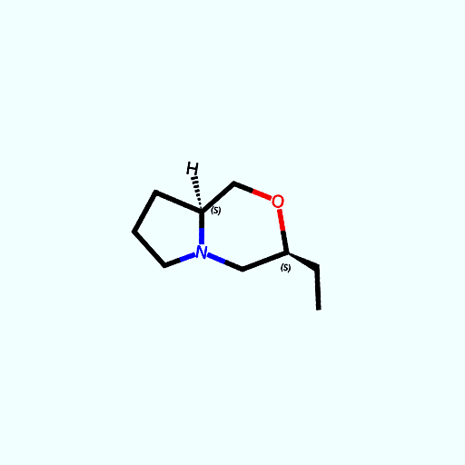 CC[C@H]1CN2CCC[C@H]2CO1